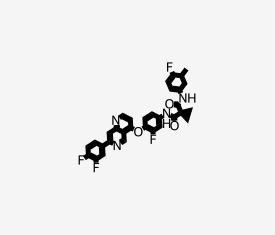 CC1CC(NC(=O)C2(C(=O)Nc3ccc(Oc4ccnc5cc(-c6ccc(F)c(F)c6)ncc45)c(F)c3)CC2)=CC=C1F